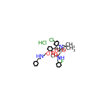 COc1c(OCCNCCc2ccccc2)cccc1[C@@H]1O[C@@H](CC(=O)NCc2ccccc2F)C(=O)N(CC(C)(C)C)c2ccc(Cl)cc21.Cl